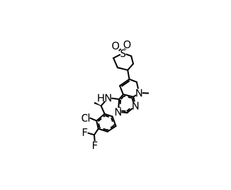 C[C@@H](Nc1ncnc2c1C=C(C1CCS(=O)(=O)CC1)CN2C)c1cccc(C(F)F)c1Cl